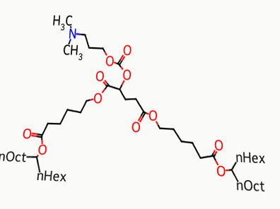 CCCCCCCCC(CCCCCC)OC(=O)CCCCCOC(=O)CCC(OC(=O)OCCCN(C)C)C(=O)OCCCCCC(=O)OC(CCCCCC)CCCCCCCC